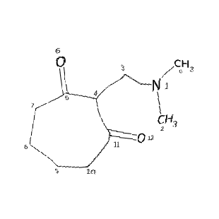 CN(C)CC1C(=O)CCCCC1=O